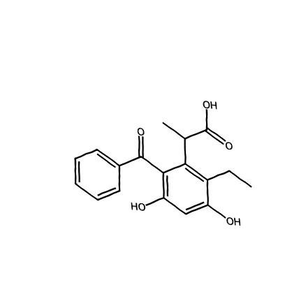 CCc1c(O)cc(O)c(C(=O)c2ccccc2)c1C(C)C(=O)O